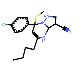 CCCCC1=CC(SC)(c2ccc(Cl)cc2)N2NCC(C#N)C2N1